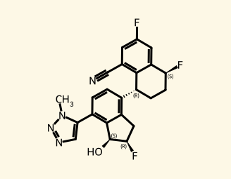 Cn1nncc1-c1ccc([C@H]2CC[C@H](F)c3cc(F)cc(C#N)c32)c2c1[C@H](O)[C@H](F)C2